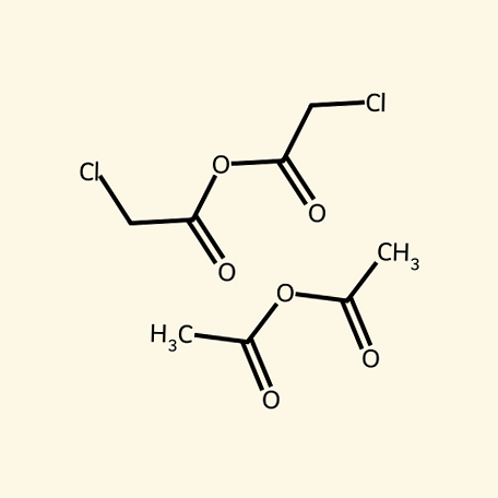 CC(=O)OC(C)=O.O=C(CCl)OC(=O)CCl